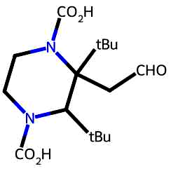 CC(C)(C)C1N(C(=O)O)CCN(C(=O)O)C1(CC=O)C(C)(C)C